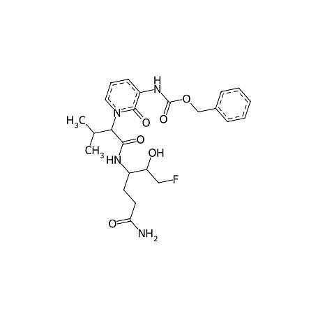 CC(C)C(C(=O)NC(CCC(N)=O)C(O)CF)n1cccc(NC(=O)OCc2ccccc2)c1=O